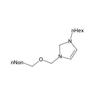 CCCCCCCCCCOCN1C=CN(CCCCCC)C1